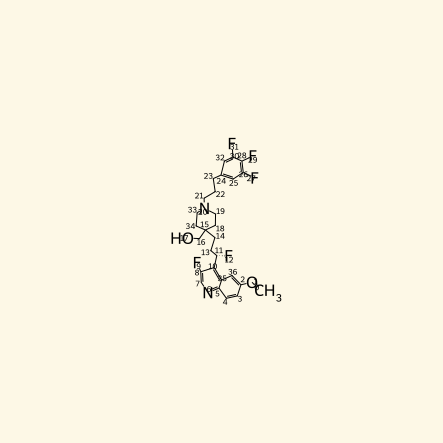 COc1ccc2ncc(F)c([C@@H](F)CCC3(CO)CCN(CCCc4cc(F)c(F)c(F)c4)CC3)c2c1